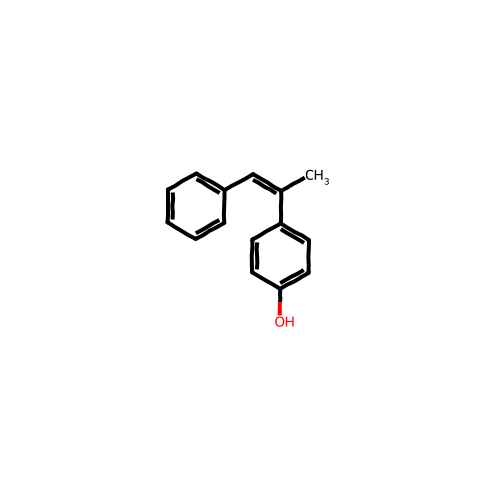 CC(=Cc1ccccc1)c1ccc(O)cc1